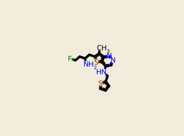 Cc1c(CC(N)CCF)sc2c(NCc3cccs3)cnnc12